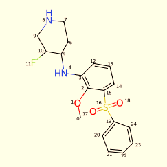 COc1c(NC2CCNCC2F)cccc1S(=O)(=O)c1ccccc1